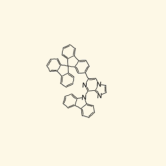 c1ccc2c(c1)-c1ccccc1C21c2ccccc2-c2ccc(-c3cn4ccnc4c(-n4c5ccccc5c5ccccc54)n3)cc21